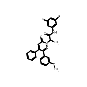 COc1cccc(-c2nn(C(C)C(=O)Nc3cc(F)cc(F)c3)c(=O)cc2-c2ccccc2)c1